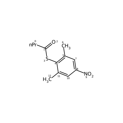 CCCC(=O)Sc1c(C)cc([N+](=O)[O-])cc1C